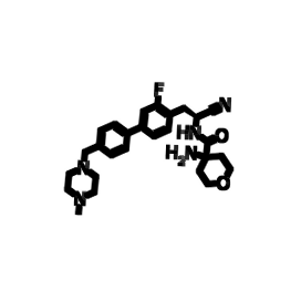 CN1CCN(Cc2ccc(-c3ccc(C[C@@H](C#N)NC(=O)C4(N)CCOCC4)c(F)c3)cc2)CC1